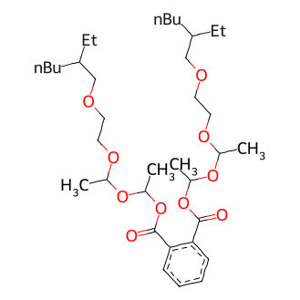 CCCCC(CC)COCCOC(C)OC(C)OC(=O)c1ccccc1C(=O)OC(C)OC(C)OCCOCC(CC)CCCC